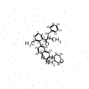 Cc1cccc(C(=O)N(C)Cc2ccccc2)c1-c1ccc2nc(N)c(N3CCOCC3)cc2c1